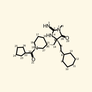 CN1C(=N)N[C@@](CCC2CCCCC2)(C[C@H]2CCCN(C(=O)C3CCCC3)C2)C1=O